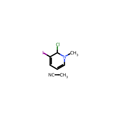 CC#N.CN1C=CC=C(I)C1Cl